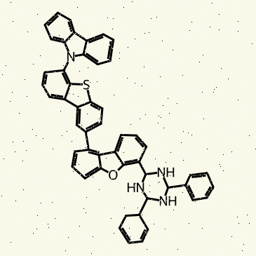 C1=CCC(C2NC(c3ccccc3)NC(c3cccc4c3oc3cccc(-c5ccc6sc7c(-n8c9ccccc9c9ccccc98)cccc7c6c5)c34)N2)C=C1